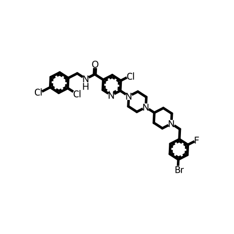 O=C(NCc1ccc(Cl)cc1Cl)c1cnc(N2CCN(C3CCN(Cc4ccc(Br)cc4F)CC3)CC2)c(Cl)c1